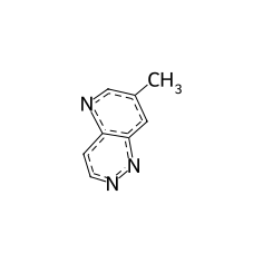 Cc1cnc2ccnnc2c1